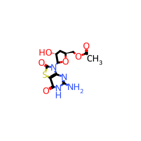 CC(=O)OC[C@@H]1C[C@@H](O)[C@H](n2c(=O)sc3c(=O)[nH]c(N)nc32)O1